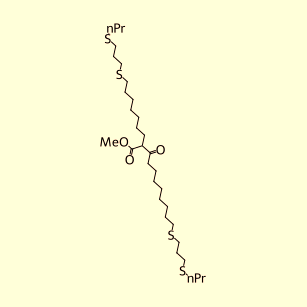 CCCSCCCSCCCCCCCCC(=O)C(CCCCCCCSCCCSCCC)C(=O)OC